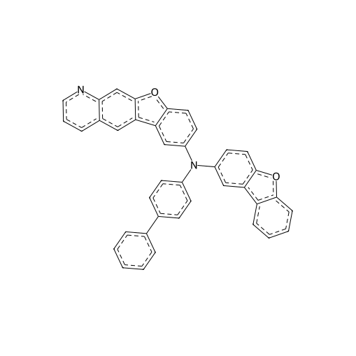 c1ccc(-c2ccc(N(c3ccc4oc5ccccc5c4c3)c3ccc4oc5cc6ncccc6cc5c4c3)cc2)cc1